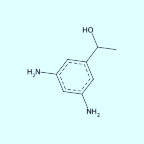 CC(O)c1cc(N)cc(N)c1